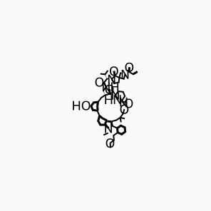 C=CC(=O)N1CC2(CCN([C@H](C(=O)NC[C@H]3Cc4cc(O)cc(c4)-c4ccc5c(c4)c(c(-c4ccccc4CCOC)n5CC)CC(C)(C)COC(=O)[C@@H]4CCCN(N4)C3=O)C(C)C)C2=O)C1